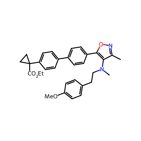 CCOC(=O)C1(c2ccc(-c3ccc(-c4onc(C)c4N(C)CCc4ccc(OC)cc4)cc3)cc2)CC1